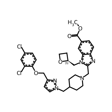 COC(=O)c1ccc2nc(CN3CCC(Cn4ccc(COc5ccc(Cl)cc5Cl)n4)CC3)n(C[C@@H]3CCO3)c2c1